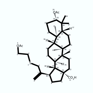 C=C(CSCCOC(C)=O)[C@@H]1CC[C@]2(C(=O)O)CC[C@]3(C)[C@H](CC[C@@H]4[C@@]5(C)CC[C@H](OC(C)=O)C(C)(C)[C@@H]5CC[C@]43C)[C@@H]12